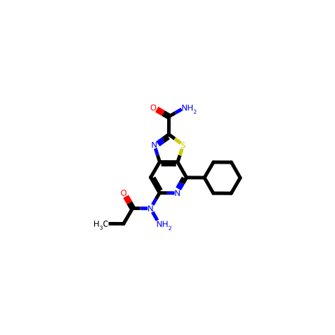 CCC(=O)N(N)c1cc2nc(C(N)=O)sc2c(C2CCCCC2)n1